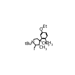 CCOc1ccc(C)c([C@]2(C)CCN(C(C)(C)C)C(I)C2C)c1